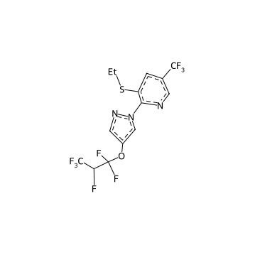 CCSc1cc(C(F)(F)F)cnc1-n1cc(OC(F)(F)C(F)C(F)(F)F)cn1